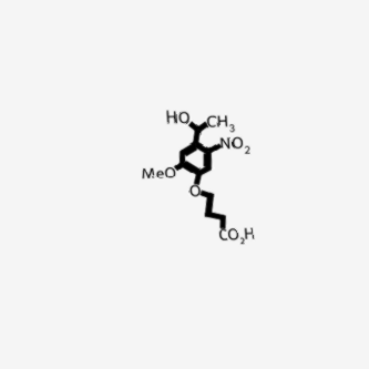 COc1cc(C(C)O)c([N+](=O)[O-])cc1OCCCC(=O)O